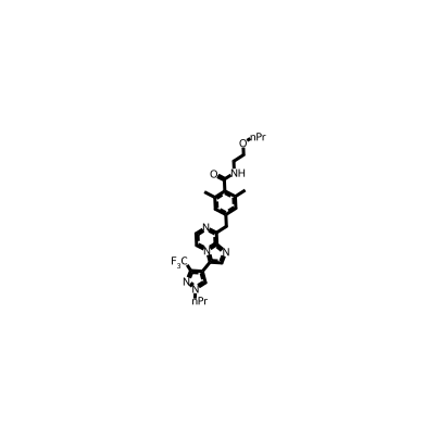 CCCOCCNC(=O)c1c(C)cc(Cc2nccn3c(-c4cn(CCC)nc4C(F)(F)F)cnc23)cc1C